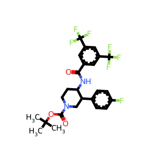 CC(C)(C)OC(=O)N1CCC(NC(=O)c2cc(C(F)(F)F)cc(C(F)(F)F)c2)C(c2ccc(F)cc2)C1